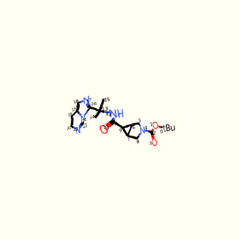 CC(C)(C)OC(=O)N1CC2C(C1)C2C(=O)NC(C)(C)c1ncc2ccncn12